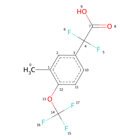 Cc1cc(C(F)(F)C(=O)O)ccc1OC(F)(F)F